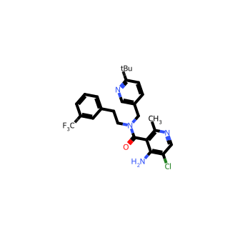 Cc1ncc(Cl)c(N)c1C(=O)N(CCc1cccc(C(F)(F)F)c1)Cc1ccc(C(C)(C)C)nc1